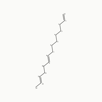 [CH]=CCCCCCCC=CCCC=CC